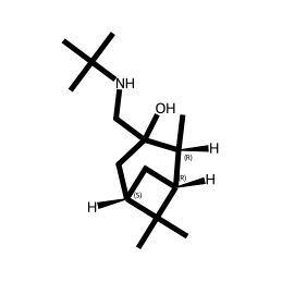 C[C@@H]1[C@H]2C[C@@H](CC1(O)CNC(C)(C)C)C2(C)C